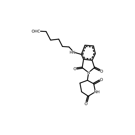 O=CCCCCCNc1cccc2c1C(=O)N(C1CCC(=O)NC1=O)C2=O